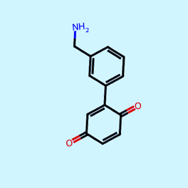 NCc1cccc(C2=CC(=O)C=CC2=O)c1